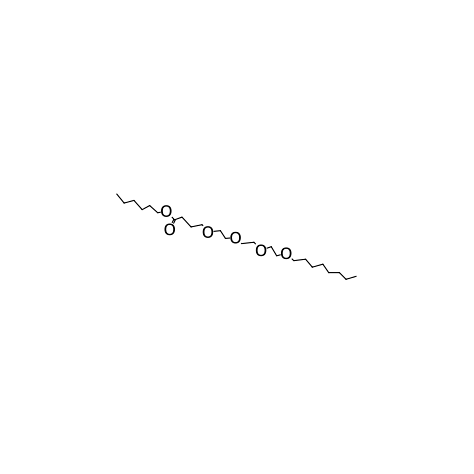 CCCCCCCCOCCOCCOCCOCCCC(=O)OCCCCCC